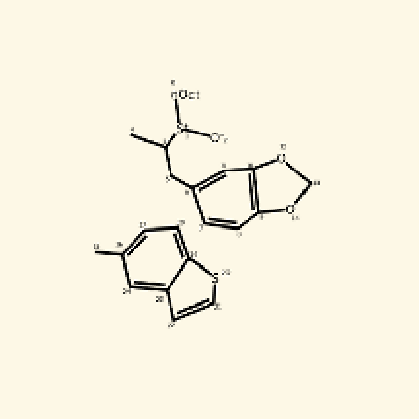 CCCCCCCC[S+]([O-])C(C)Cc1ccc2c(c1)OCO2.Cc1ccc2sccc2c1